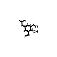 CC(C)Cc1cc(C=O)c(O)c(C=S)c1